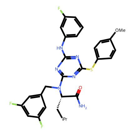 COc1ccc(Sc2nc(Nc3cccc(F)c3)nc(N(Cc3cc(F)cc(F)c3)[C@@H](CC(C)C)C(N)=O)n2)cc1